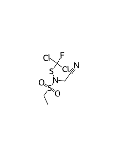 CCS(=O)(=O)N(CC#N)SC(F)(Cl)Cl